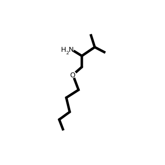 CCCCCOCC(N)C(C)C